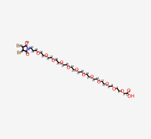 O=C(O)COCCOCCOCCOCCOCCOCCOCCOCCOCCOCCOCCOCCCN1C(=O)C(Br)C(Br)C1=O